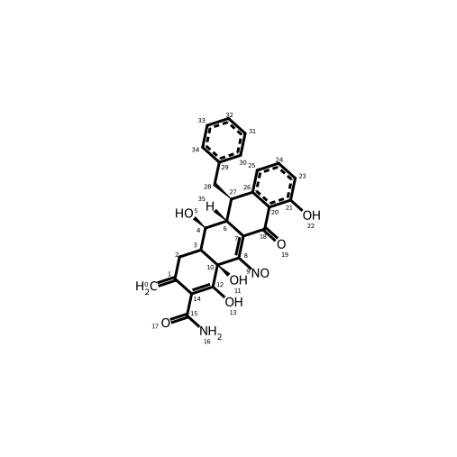 C=C1CC2[C@@H](O)[C@H]3C(=C(N=O)[C@]2(O)C(O)=C1C(N)=O)C(=O)c1c(O)cccc1[C@@H]3Cc1ccccc1